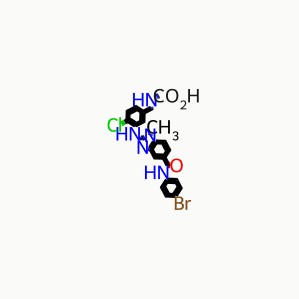 Cn1c(Nc2cc(CNC(=O)O)ccc2Cl)nc2cc(C(=O)Nc3ccc(Br)cc3)ccc21